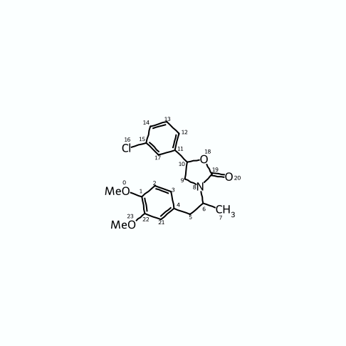 COc1ccc(CC(C)N2CC(c3cccc(Cl)c3)OC2=O)cc1OC